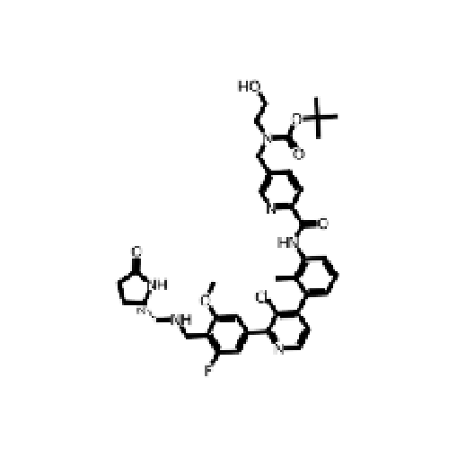 COc1cc(-c2nccc(-c3cccc(NC(=O)c4ccc(CN(CCO)C(=O)OC(C)(C)C)cn4)c3C)c2Cl)cc(F)c1CNC[C@@H]1CCC(=O)N1